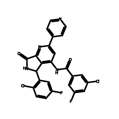 O=C(Nc1cc(-c2ccncc2)nc2c1C(c1cc(F)ccc1Cl)NC2=O)c1cc(F)cc(Cl)c1